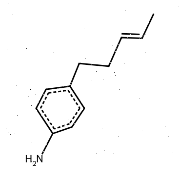 CC=CCCc1ccc(N)cc1